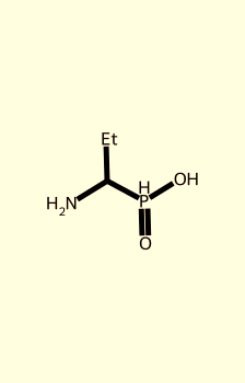 CCC(N)[PH](=O)O